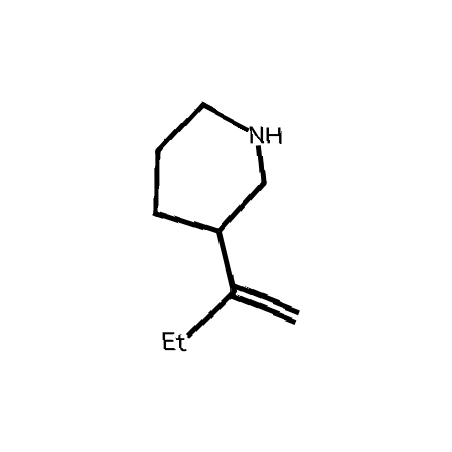 C=C(CC)C1CCCNC1